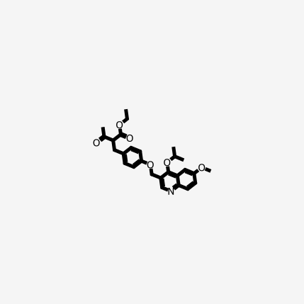 CCOC(=O)C(Cc1ccc(OCc2cnc3ccc(OC)cc3c2OC(C)C)cc1)C(C)=O